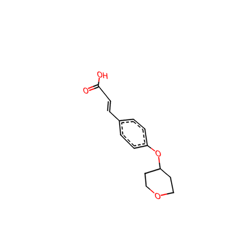 O=C(O)/C=C/c1ccc(OC2CCOCC2)cc1